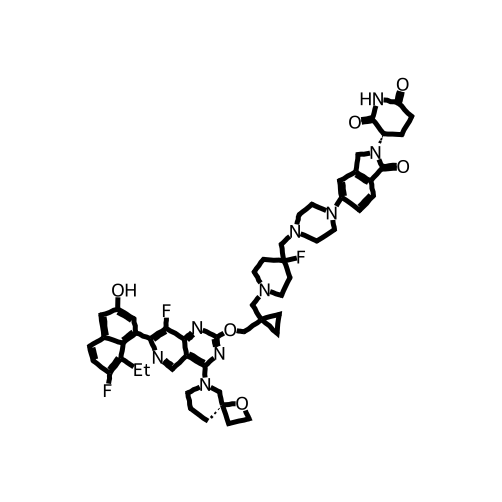 CCc1c(F)ccc2cc(O)cc(-c3ncc4c(N5CCC[C@]6(CCO6)C5)nc(OCC5(CN6CCC(F)(CN7CCN(c8ccc9c(c8)CN([C@H]8CCC(=O)NC8=O)C9=O)CC7)CC6)CC5)nc4c3F)c12